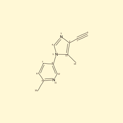 C#Cc1ncn(-c2ccc(C)nc2)c1C